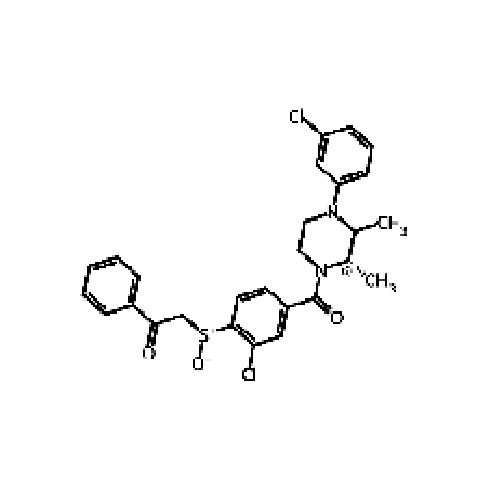 CC1[C@H](C)N(C(=O)c2ccc([S+]([O-])CC(=O)c3ccccc3)c(Cl)c2)CCN1c1cccc(Cl)c1